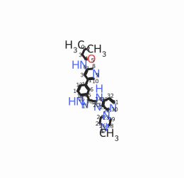 CC(C)CC(=O)Nc1cncc(-c2ccc3[nH]nc(-c4nc5c(N6CCN(C)CC6)nccc5[nH]4)c3c2)c1